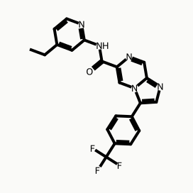 CCc1ccnc(NC(=O)c2cn3c(-c4ccc(C(F)(F)F)cc4)cnc3cn2)c1